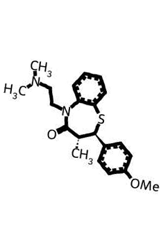 COc1ccc([C@@H]2Sc3ccccc3N(CCN(C)C)C(=O)[C@H]2C)cc1